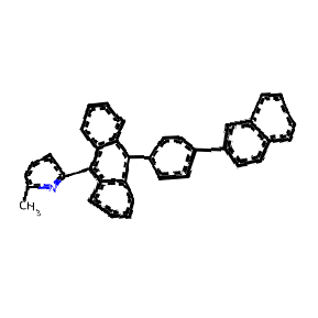 Cc1cccc(-c2c3ccccc3c(-c3ccc(-c4ccc5ccccc5c4)cc3)c3ccccc23)n1